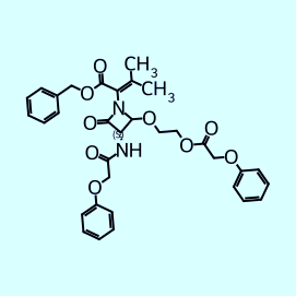 CC(C)=C(C(=O)OCc1ccccc1)N1C(=O)[C@@H](NC(=O)COc2ccccc2)C1OCCOC(=O)COc1ccccc1